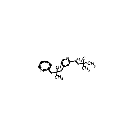 CC(C)(C)CCc1cc(CC(C)(C)Cc2ccccn2)ccn1